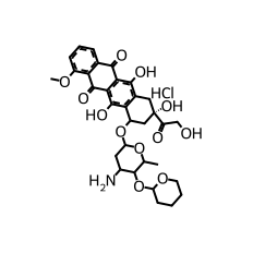 COc1cccc2c1C(=O)c1c(O)c3c(c(O)c1C2=O)C[C@@](O)(C(=O)CO)CC3OC1CC(N)C(OC2CCCCO2)C(C)O1.Cl